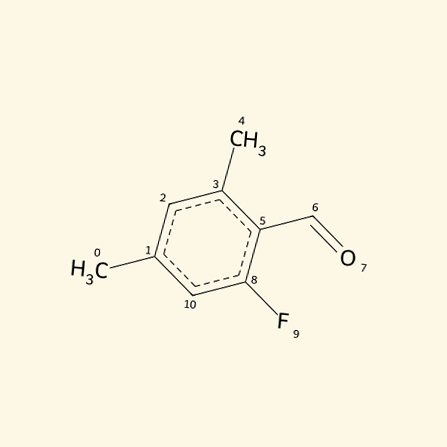 Cc1cc(C)c(C=O)c(F)c1